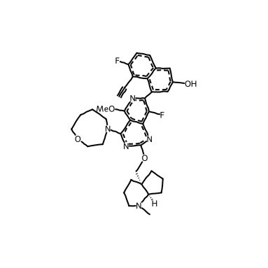 C#Cc1c(F)ccc2cc(O)cc(-c3nc(OC)c4c(N5CCCCOCC5)nc(OC[C@]56CCC[C@H]5N(C)CCC6)nc4c3F)c12